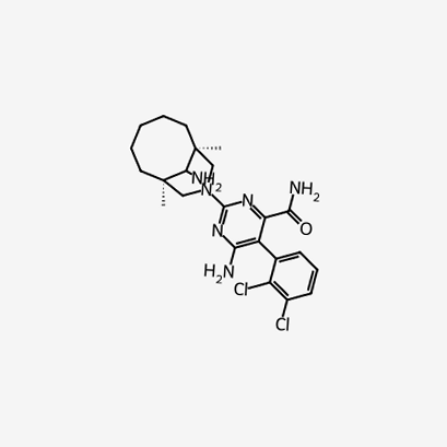 C[C@]12CCCCC[C@](C)(CN(c3nc(N)c(-c4cccc(Cl)c4Cl)c(C(N)=O)n3)C1)C2N